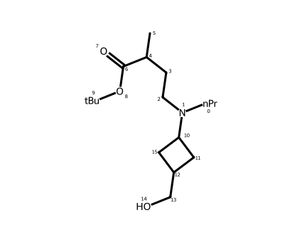 CCCN(CCC(C)C(=O)OC(C)(C)C)C1CC(CO)C1